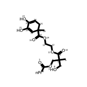 CCCC(=O)OCC(C)(CO)C(=O)OCCOC(=O)C1(C)C=C(O)C(O)=CC1